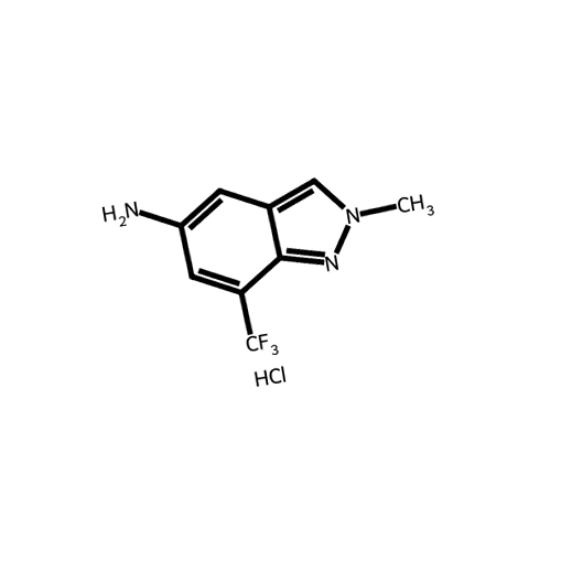 Cl.Cn1cc2cc(N)cc(C(F)(F)F)c2n1